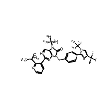 [2H]C([2H])([2H])n1cc(C(F)(F)F)nc1-c1ccc(Cn2c(=O)n(C([2H])([2H])[2H])c3cnc(-c4cccnc4C(C)C)nc32)cc1